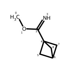 COC(=N)C12CC(C1)C2